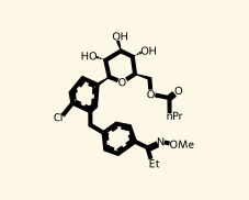 CCCC(=O)OC[C@H]1O[C@@H](c2ccc(Cl)c(Cc3ccc(C(CC)=NOC)cc3)c2)[C@H](O)[C@@H](O)[C@@H]1O